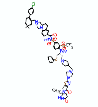 CC1(C)CCC(c2ccc(Cl)cc2)=C(CN2CCN3c4ccc(C(=O)NS(=O)(=O)c5ccc(N[C@H](CCN6CCC(CN7CCN(c8nc9c(s8)CN(C8(C=O)CCC(=O)NC8)C9=O)CC7)CC6)CSc6ccccc6)c(S(=O)(=O)C(F)(F)F)c5)cc4CCC3C2)C1